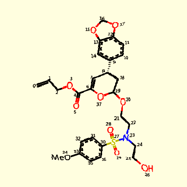 C=CCOC(=O)C1=C[C@H](c2ccc3c(c2)OCO3)CC(OCCN(CCO)S(=O)(=O)c2ccc(OC)cc2)O1